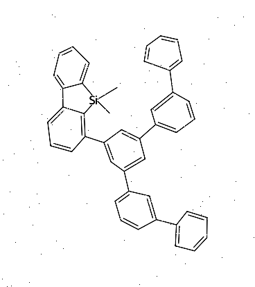 C[Si]1(C)c2ccccc2-c2cccc(-c3cc(-c4cccc(-c5ccccc5)c4)cc(-c4cccc(-c5ccccc5)c4)c3)c21